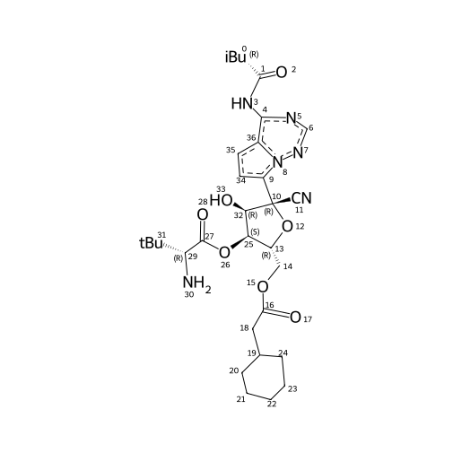 CC[C@@H](C)C(=O)Nc1ncnn2c([C@]3(C#N)O[C@H](COC(=O)CC4CCCCC4)[C@@H](OC(=O)[C@H](N)C(C)(C)C)[C@H]3O)ccc12